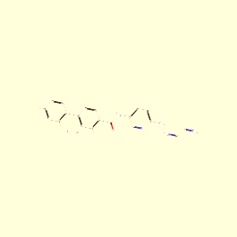 CSc1cc(F)ccc1-c1cc(Cl)c(C(=O)Nc2cnc(N/N=C\C=N)c(Cl)c2)cc1F